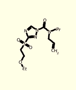 C=CCN(C(=O)n1cnc(S(=O)(=O)CCOCC)n1)C(C)C